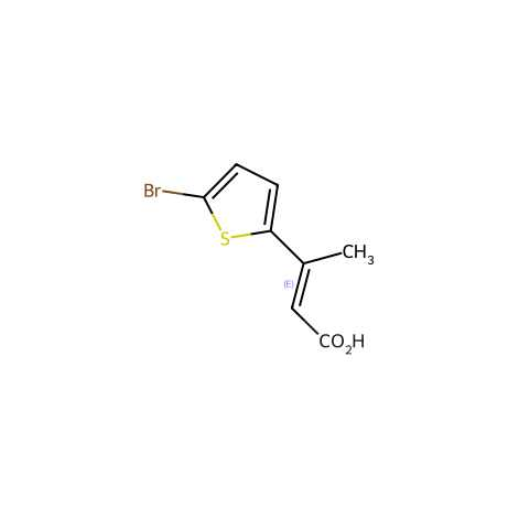 C/C(=C\C(=O)O)c1ccc(Br)s1